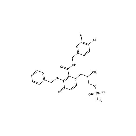 CC(COS(C)(=O)=O)Cn1ccc(=O)c(OCc2ccccc2)c1C(=O)NCc1ccc(Cl)c(Cl)c1